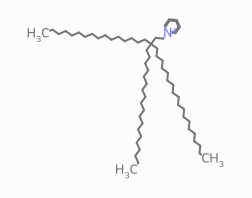 CCCCCCCCCCCCCCCCCCCC(CCCCCCCCCCCCCCCC)(CCCCCCCCCCCCCCCCCCC)CC[n+]1ccccc1